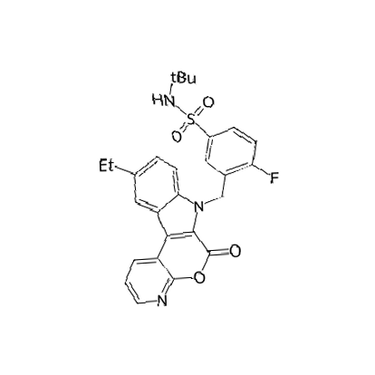 CCc1ccc2c(c1)c1c3cccnc3oc(=O)c1n2Cc1cc(S(=O)(=O)NC(C)(C)C)ccc1F